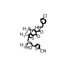 Cc1c(CN(C)CC(O)c2ccc(C#N)s2)sc2c(=O)c(C(=O)NCc3ccc(Cl)cc3)cn(C)c12